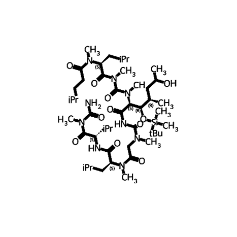 CC(C)CCC(=O)N(C)[C@@H](CC(C)C)C(=O)N(C)C(=O)N(C)[C@H](C(=O)NC(=O)N(C)CC(=O)N(C)[C@@H](CC(C)C)C(=O)N[C@H](C(=O)N(C)C(N)=O)C(C)C)[C@H](O[Si](C)(C)C(C)(C)C)[C@H](C)CC(C)O